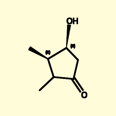 CC1C(=O)C[C@@H](O)[C@@H]1C